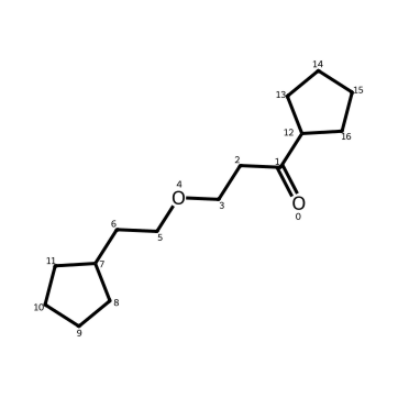 O=C(CCOCCC1CCCC1)C1CCCC1